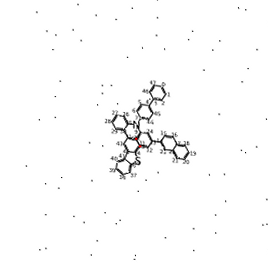 c1ccc(-c2ccc(N(c3cccc(-c4ccc5ccccc5c4)c3)c3ccccc3-c3ccc4sc5ccccc5c4c3)cc2)cc1